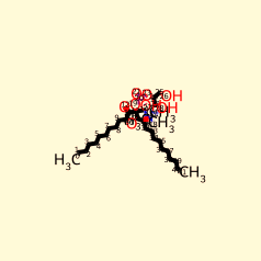 CCCCCCCCCCCC(=O)C(C[N+](C)(C)C)(OP(=O)(O)OC(CO)CO)C(=O)CCCCCCCCCCC